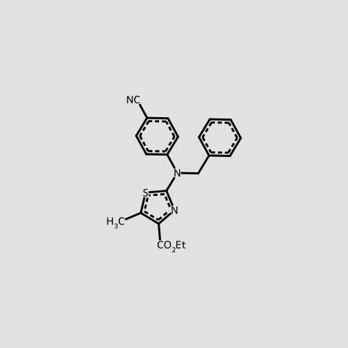 CCOC(=O)c1nc(N(Cc2ccccc2)c2ccc(C#N)cc2)sc1C